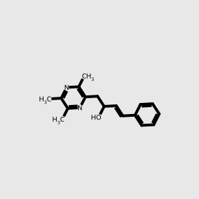 Cc1nc(C)c(CC(O)C=Cc2ccccc2)nc1C